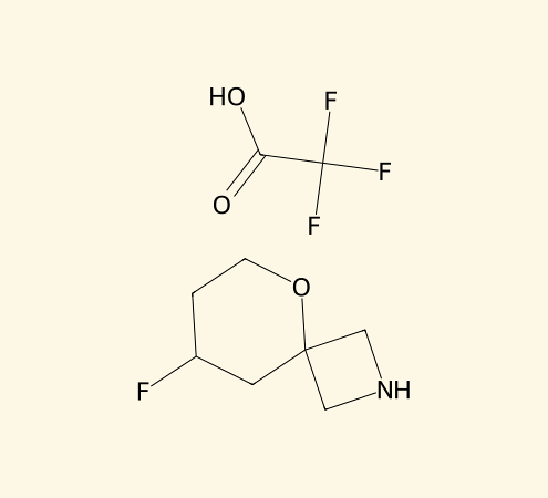 FC1CCOC2(CNC2)C1.O=C(O)C(F)(F)F